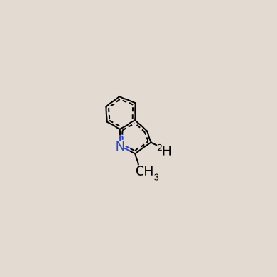 [2H]c1cc2ccccc2nc1C